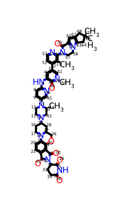 Cc1c(-c2cc(Nc3ccc(N4CCN(C5CCN6c7ccc8c(c7OCC6C5)C(=O)N(C5CCC(=O)NC5=O)C8=O)C[C@@H]4C)cn3)c(=O)n(C)c2)ccnc1N1CCn2c(cc3c2CC(C)(C)C3)C1=O